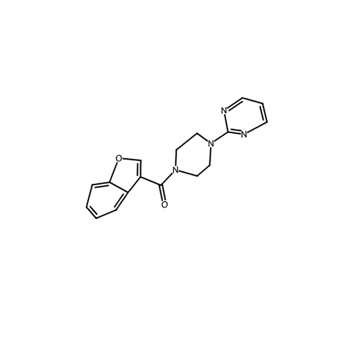 O=C(c1coc2ccccc12)N1CCN(c2ncccn2)CC1